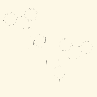 Cc1cc(COCc2cc(C)cc(CP3(=O)Oc4ccccc4-c4ccccc43)c2O)c(O)c(CP2(=O)Oc3ccccc3-c3ccccc32)c1